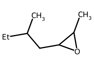 CCC(C)CC1OC1C